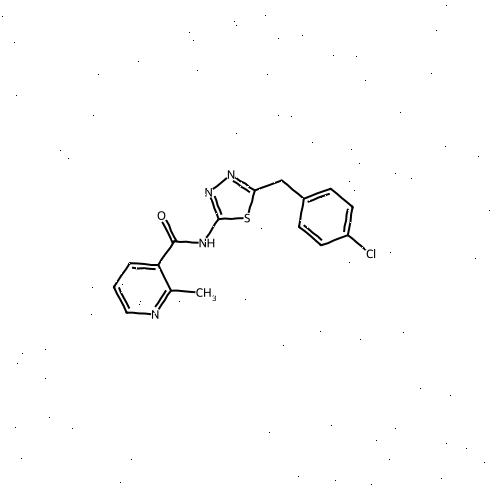 Cc1ncccc1C(=O)Nc1nnc(Cc2ccc(Cl)cc2)s1